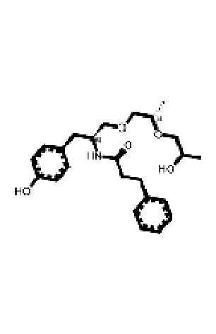 CC(O)CO[C@@H](C)COC[C@H](Cc1ccc(O)cc1)NC(=O)CCc1ccccc1